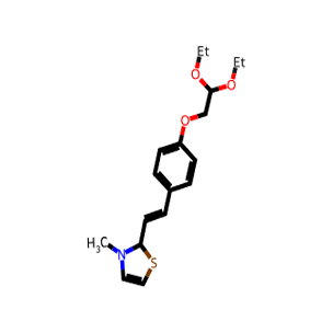 CCOC(COc1ccc(C=CC2SC=CN2C)cc1)OCC